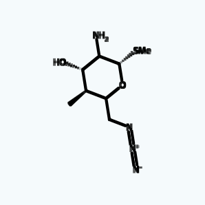 CS[C@@H]1OC(CN=[N+]=[N-])[C@@H](C)[C@H](O)C1N